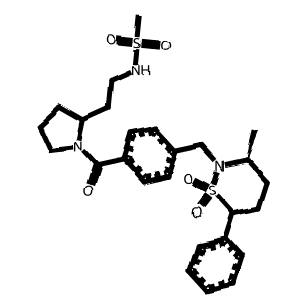 C[C@H]1CCC(c2ccccc2)S(=O)(=O)N1Cc1ccc(C(=O)N2CCCC2CCNS(C)(=O)=O)cc1